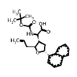 C=CC[C@@H]1O[C@@H](c2cccc3ccccc23)C[C@@H]1C(NC(=O)OC(C)(C)C)C(=O)O